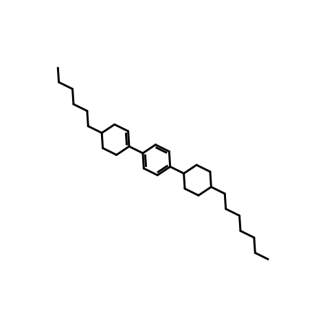 CCCCCCCC1CCC(c2ccc(C3=CCC(CCCCCC)CC3)cc2)CC1